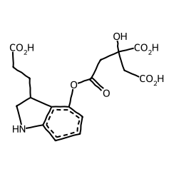 O=C(O)CCC1CNc2cccc(OC(=O)CC(O)(CC(=O)O)C(=O)O)c21